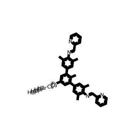 Br.Br.Br.Br.Cc1cc(-c2cc(C(C)C)cc(-c3cc(C)c(N=Cc4ccccn4)c(C)c3)c2C)cc(C)c1N=Cc1ccccn1.[Cu].[Cu]